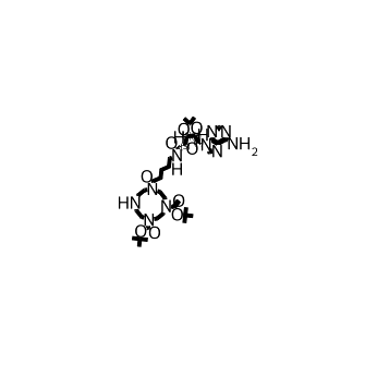 CC(C)(C)OC(=O)N1CCNCCN(C(=O)CCCCNC(=O)[C@H]2O[C@@H](n3cnc4c(N)ncnc43)[C@@H]3OC(C)(C)O[C@@H]32)CCN(C(=O)OC(C)(C)C)CC1